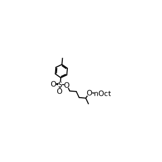 CCCCCCCCOC(C)CCCOS(=O)(=O)c1ccc(C)cc1